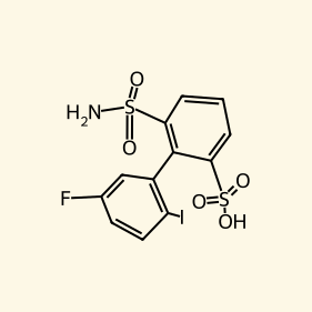 NS(=O)(=O)c1cccc(S(=O)(=O)O)c1-c1cc(F)ccc1I